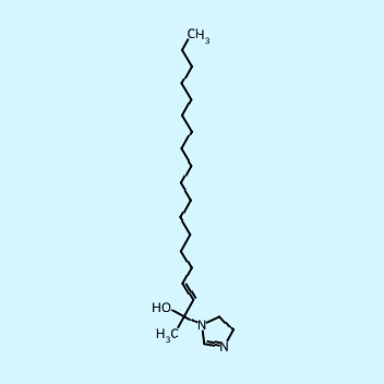 CCCCCCCCCCCCCCCC=CC(C)(O)N1C=NCC1